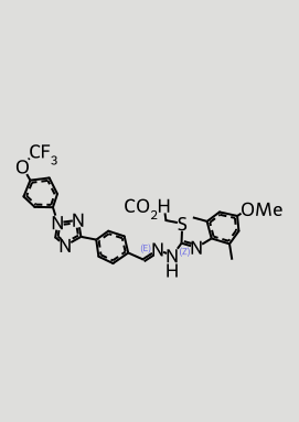 COc1cc(C)c(/N=C(/N/N=C/c2ccc(-c3ncn(-c4ccc(OC(F)(F)F)cc4)n3)cc2)SCC(=O)O)c(C)c1